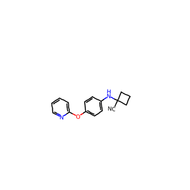 N#CC1(Nc2ccc(Oc3ccccn3)cc2)CCC1